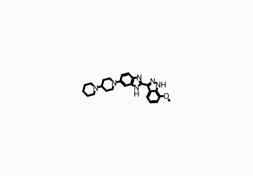 COc1cccc2c(-c3nc4ccc(N5CCC(N6CCCCC6)CC5)cc4[nH]3)n[nH]c12